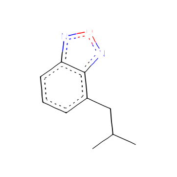 C[C](C)Cc1cccc2nonc12